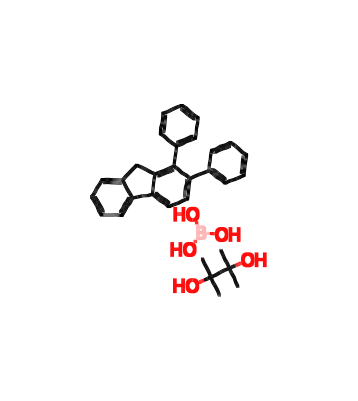 CC(C)(O)C(C)(C)O.OB(O)O.c1ccc(-c2ccc3c(c2-c2ccccc2)Cc2ccccc2-3)cc1